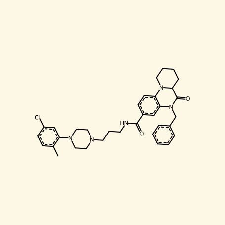 Cc1ccc(Cl)cc1N1CCN(CCCNC(=O)c2ccc3c(c2)N(Cc2ccccc2)C(=O)C2CCCCN32)CC1